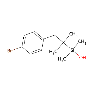 CC(C)(Cc1ccc(Br)cc1)[Si](C)(C)O